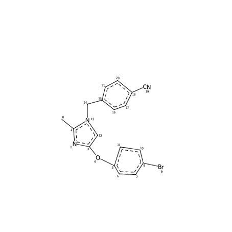 Cc1nc(Oc2ccc(Br)cc2)cn1Cc1ccc(C#N)cc1